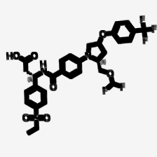 CCS(=O)(=O)c1ccc([C@H](CC(=O)O)NC(=O)c2ccc(N3CC(Oc4ccc(C(F)(F)F)cc4)C[C@H]3COC(F)F)cc2)cc1